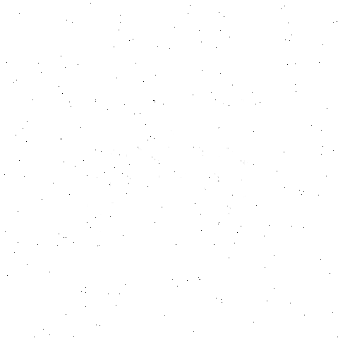 Cc1cccc(N2CCN(C(=O)C(C)Nc3c(-c4ccccc4)nc4cnccn34)CC2C)c1